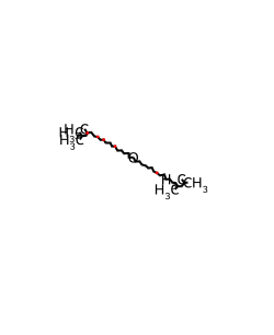 CC(C)CC(C)CCCCCCCCCCCCCCOCCCCCCCCCCCCCCC(C)CC(C)C